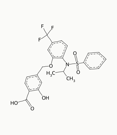 CC(C)N(c1ccc(C(F)(F)F)cc1OCc1ccc(C(=O)O)c(O)c1)S(=O)(=O)c1ccccc1